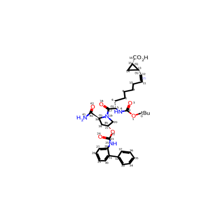 CC(C)(C)OC(=O)N[C@@H](CCCCC/C=C\[C@@H]1C[C@@H]1C(=O)O)C(=O)N1C[C@H](OC(=O)Nc2ccccc2-c2ccccc2)C[C@H]1C(N)=O